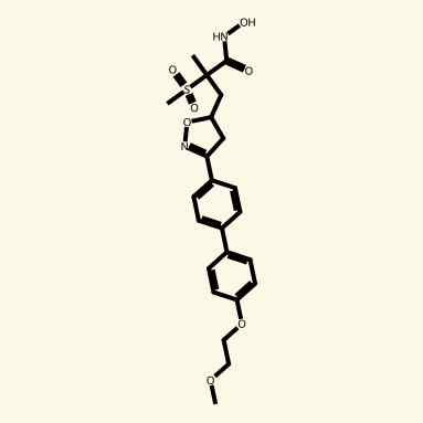 COCCOc1ccc(-c2ccc(C3=NOC(CC(C)(C(=O)NO)S(C)(=O)=O)C3)cc2)cc1